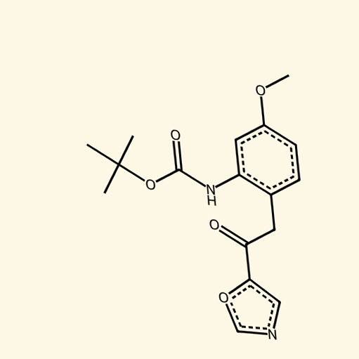 COc1ccc(CC(=O)c2cnco2)c(NC(=O)OC(C)(C)C)c1